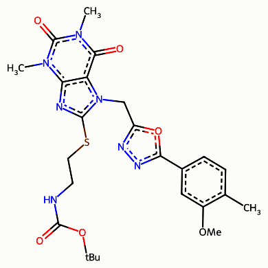 COc1cc(-c2nnc(Cn3c(SCCNC(=O)OC(C)(C)C)nc4c3c(=O)n(C)c(=O)n4C)o2)ccc1C